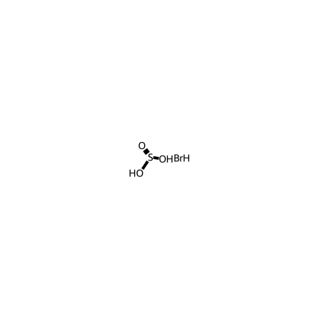 Br.O=S(O)O